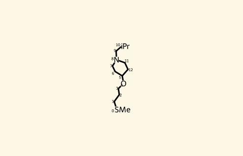 CSCCCOC1CCN(CC(C)C)CC1